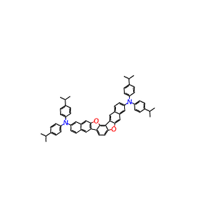 CC(C)c1ccc(N(c2ccc(C(C)C)cc2)c2ccc3cc4c(cc3c2)oc2c4ccc3oc4cc5cc(N(c6ccc(C(C)C)cc6)c6ccc(C(C)C)cc6)ccc5cc4c32)cc1